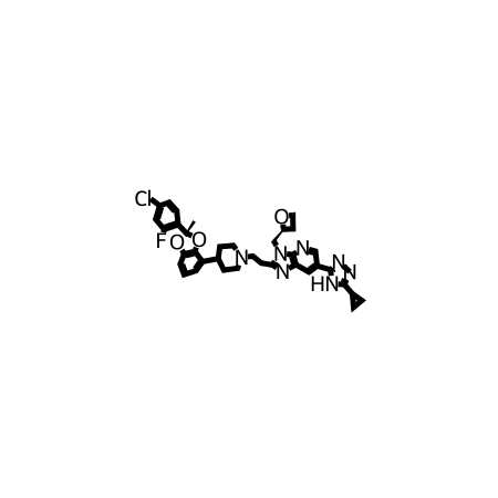 C[C@]1(c2ccc(Cl)cc2F)Oc2cccc(C3CCN(CCc4nc5cc(-c6nnc(C7CC7)[nH]6)cnc5n4C[C@@H]4CCO4)CC3)c2O1